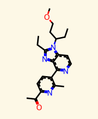 CCc1nc2c(-c3ccc(C(C)=O)nc3C)nccc2n1C(CC)CCOC